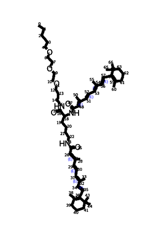 CCCCCOCCOCCOCCCNC(=O)C(CCCCNC(=O)/C=C(C)/C=C/C=C(C)/C=C/C1=C(C)CCCC1(C)C)NC(=O)/C=C(C)/C=C/C=C(C)/C=C/C1=C(C)CCCC1(C)C